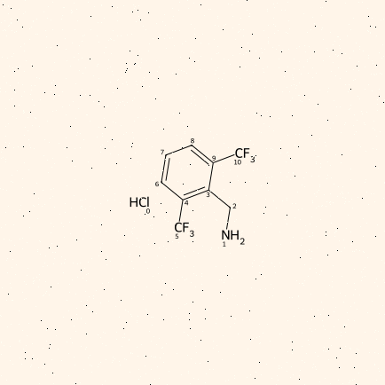 Cl.NCc1c(C(F)(F)F)cccc1C(F)(F)F